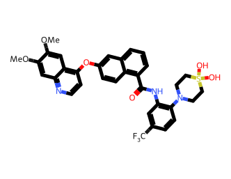 COc1cc2nccc(Oc3ccc4c(C(=O)Nc5cc(C(F)(F)F)ccc5N5CCS(O)(O)CC5)cccc4c3)c2cc1OC